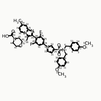 COc1ccc(CN(Cc2ccc(OC)cc2)S(=O)(=O)c2ccn(-c3cc(F)c(-c4nc5cc(C)ccn5c4C[C@H]4CN(C(=O)O)CCO4)c(F)c3)c2)cc1